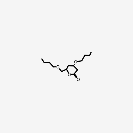 CCCCOCC1C[C@H](OCCCC)CC(=O)O1